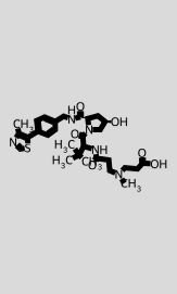 Cc1ncsc1-c1ccc(CNC(=O)[C@@H]2C[C@@H](O)CN2C(=O)C(NC(=O)CCN(C)CCC(=O)O)C(C)(C)C)cc1